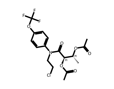 CC(=O)O[C@H](C)[C@@H](OC(C)=O)C(=O)N(CCCl)c1ccc(OC(F)(F)F)cc1